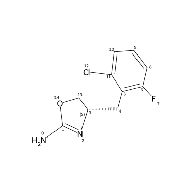 NC1=N[C@@H](Cc2c(F)cccc2Cl)CO1